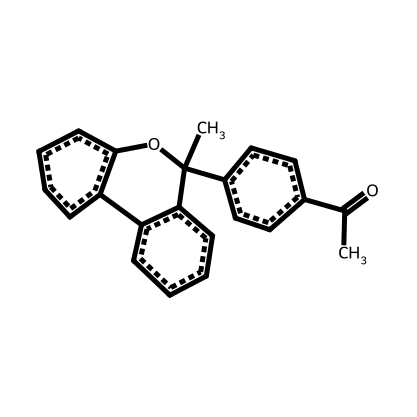 CC(=O)c1ccc(C2(C)Oc3ccccc3-c3ccccc32)cc1